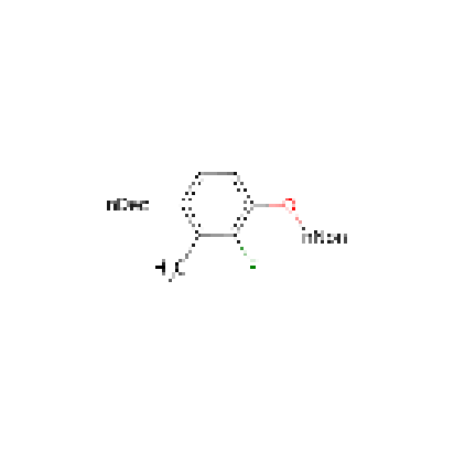 CCCCCCCCCCc1ccc(OCCCCCCCCC)c(F)c1C